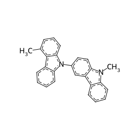 Cc1cccc2c1c1ccccc1n2-c1ccc2c(c1)c1ccccc1n2C